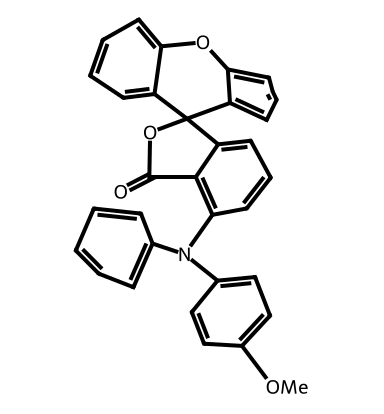 COc1ccc(N(c2ccccc2)c2cccc3c2C(=O)OC32c3ccccc3Oc3ccccc32)cc1